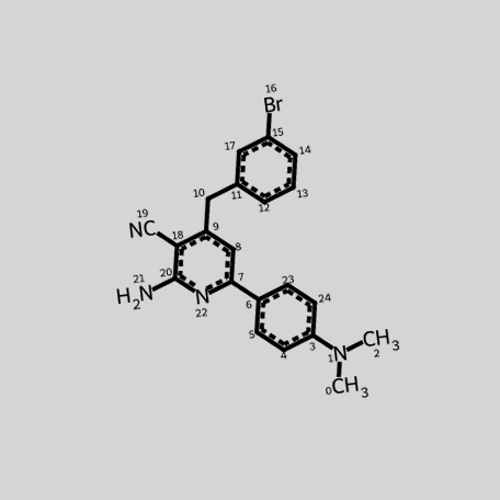 CN(C)c1ccc(-c2cc(Cc3cccc(Br)c3)c(C#N)c(N)n2)cc1